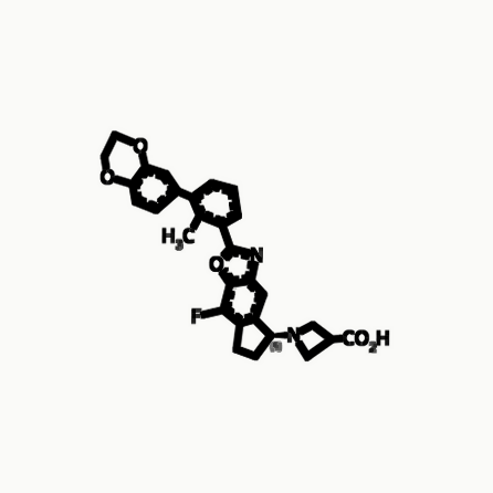 Cc1c(-c2ccc3c(c2)OCCO3)cccc1-c1nc2cc3c(c(F)c2o1)CC[C@@H]3N1CC(C(=O)O)C1